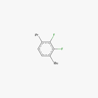 CCC(C)c1ccc(C(C)C)c(F)c1F